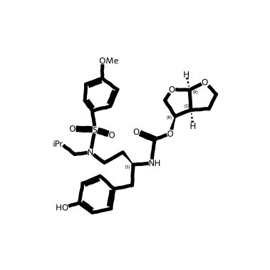 COc1ccc(S(=O)(=O)N(CC[C@H](Cc2ccc(O)cc2)NC(=O)O[C@H]2CO[C@H]3OCC[C@H]32)CC(C)C)cc1